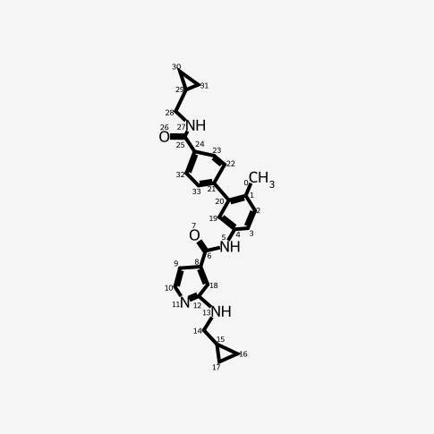 Cc1ccc(NC(=O)c2ccnc(NCC3CC3)c2)cc1-c1ccc(C(=O)NCC2CC2)cc1